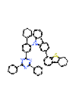 C1=CC(c2ccc(-c3nc(-c4ccccc4)nc(-c4ccccc4)n3)cc2-n2c3ccccc3c3ccc(-c4cccc5c6c(sc45)CCC=C6)cc32)=CCC1